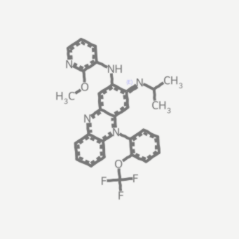 COc1ncccc1Nc1cc2nc3ccccc3n(-c3ccccc3OC(F)(F)F)c-2c/c1=N\C(C)C